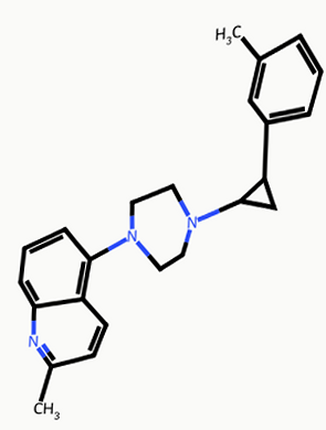 Cc1cccc(C2CC2N2CCN(c3cccc4nc(C)ccc34)CC2)c1